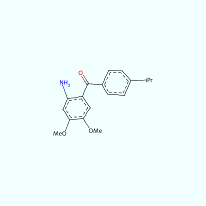 COc1cc(N)c(C(=O)c2ccc(C(C)C)cc2)cc1OC